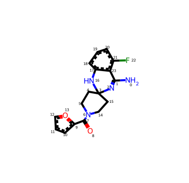 NC1=NC2(CCN(C(=O)c3ccco3)CC2)Nc2cccc(F)c21